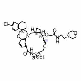 CC[C@@H]1CC/C=C/[C@H](OCC(=O)NCCN2CCOCC2)[C@@H]2CC[C@H]2CN2C[C@@]3(CCCc4cc(Cl)ccc43)COc3ccc(cc32)C(=O)NS1(=O)=O